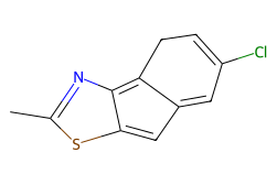 Cc1nc2c(s1)=CC1=CC(Cl)=CCC=21